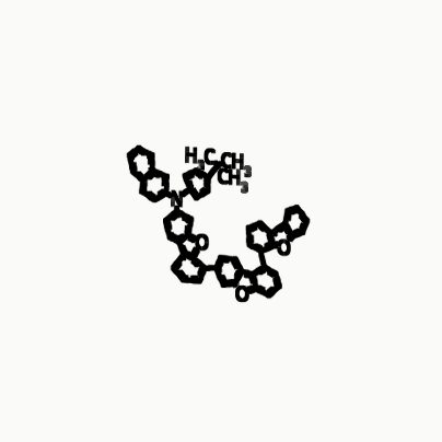 CC(C)(C)c1ccc(N(c2ccc3ccccc3c2)c2ccc3c(c2)oc2c(-c4ccc5c(c4)oc4cccc(-c6cccc7c6oc6ccccc67)c45)cccc23)cc1